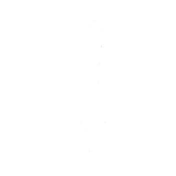 CC(=O)c1ccc(C)c(C)c1OCCCCCCCCCCCC(=O)O